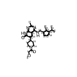 COCC(=O)N1CCC(c2cc3c(NCc4cccc(C(F)F)c4F)nc(C)nc3[nH]c2=O)CC1